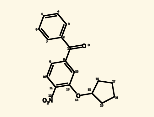 O=C(c1ccccc1)c1ccc([N+](=O)[O-])c(OC2CCCC2)c1